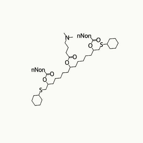 CCCCCCCCCC(=O)OC(CCCCCC(CCCCCC(CSC1CCCCC1)OC(=O)CCCCCCCCC)OC(=O)CCCN(C)C)CSC1CCCCC1